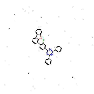 Fc1cc(-c2nc(-c3ccccc3)nc(-c3ccccc3)n2)ccc1-c1cccc2c1oc1ccccc12